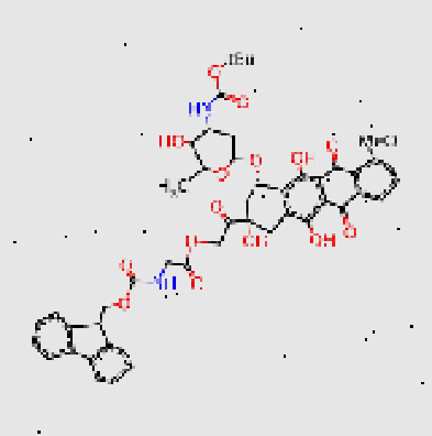 COc1cccc2c1C(=O)c1c(O)c3c(c(O)c1C2=O)CC(O)(C(=O)COC(=O)CNC(=O)OCC1c2ccccc2-c2ccccc21)C[C@@H]3OC1CC(NC(=O)OC(C)(C)C)C(O)C(C)O1